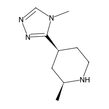 C[C@H]1C[C@@H](c2nncn2C)CCN1